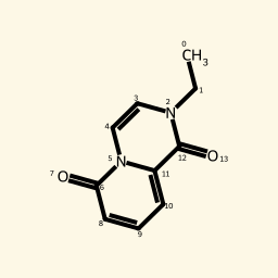 CCn1ccn2c(=O)cccc2c1=O